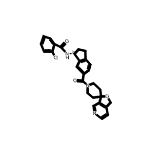 O=C(N[C@@H]1CCc2ccc(C(=O)N3CCC4(CC3)OCc3ccncc34)cc21)c1ccccc1Cl